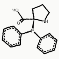 O=C(O)[C@]1(P(c2ccccc2)c2ccccc2)CCCN1